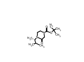 CC(C)[C@H](C)N1CCN(C(=O)OC(C)(C)C)CC1=O